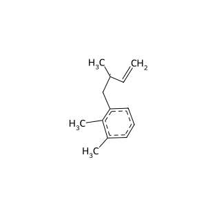 C=C[C](C)Cc1cccc(C)c1C